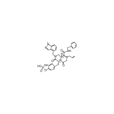 C=CCN1CC(=O)N2[C@@H](Cc3ccc(OP(=O)(O)O)cc3)C(=O)N(Cc3cccc4c3cnn4C)C[C@@H]2N1C(=O)NCc1ccccc1